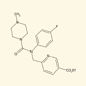 CCOC(=O)c1ccc(CN(C(=O)N2CCN(C)CC2)c2ccc(F)cc2)nc1